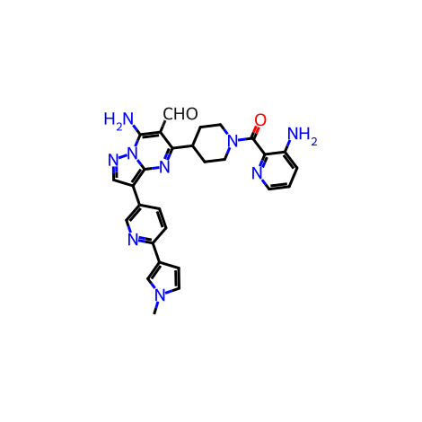 Cn1ccc(-c2ccc(-c3cnn4c(N)c(C=O)c(C5CCN(C(=O)c6ncccc6N)CC5)nc34)cn2)c1